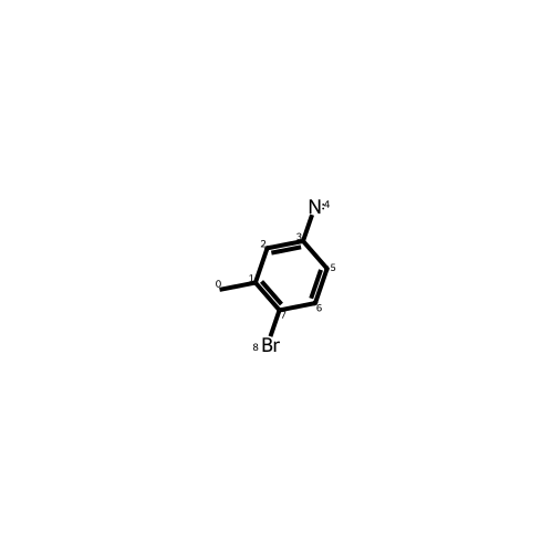 Cc1cc([N])ccc1Br